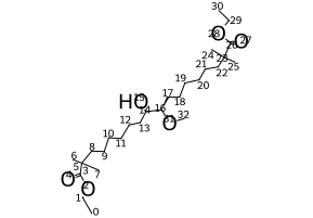 CCOC(=O)C(C)(C)CCCCCC[C@H](O)[C@@H](CCCCCCC(C)(C)C(=O)OCC)OC